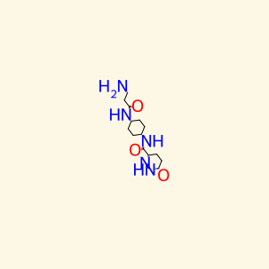 NCCC(=O)NC1CCC(NC(=O)C2=NNC(=O)CC2)CC1